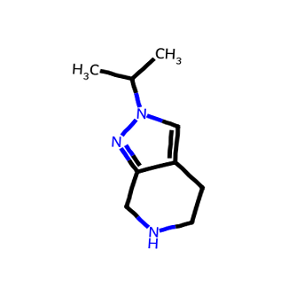 CC(C)n1cc2c(n1)CNCC2